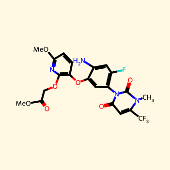 COC(=O)COc1nc(OC)ccc1Oc1cc(-n2c(=O)cc(C(F)(F)F)n(C)c2=O)c(F)cc1N